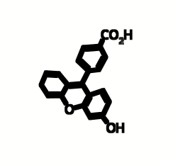 O=C(O)c1ccc(C2=C3C=CCC=C3Oc3cc(O)ccc32)cc1